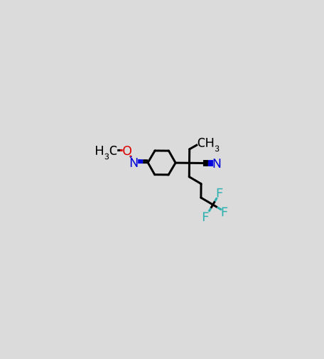 CCC(C#N)(CCCC(F)(F)F)C1CCC(=NOC)CC1